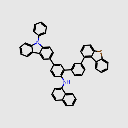 c1ccc(-n2c3ccccc3c3cc(-c4ccc(Nc5cccc6ccccc56)c(-c5cccc(-c6cccc7sc8ccccc8c67)c5)c4)ccc32)cc1